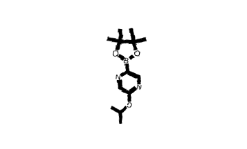 CC(C)Oc1cnc(B2OC(C)(C)C(C)(C)O2)cn1